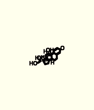 C[C@]12[C@@H](O)C[C@@]3(C)C(CC[C@@H]3C(=O)CO)[C@@H]1CCC1=CC(=O)C=C[C@@]12C